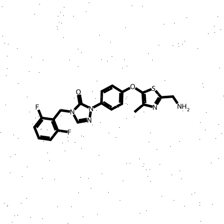 Cc1nc(CN)sc1Oc1ccc(-n2ncn(Cc3c(F)cccc3F)c2=O)cc1